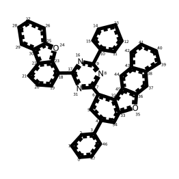 c1ccc(-c2cc(-c3nc(-c4ccccc4)nc(-c4cccc5c4oc4ccccc45)n3)c3c(c2)oc2cc4ccccc4cc23)cc1